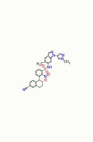 Cc1cc2cnn(-c3cnn(C)c3)c2cc1NS(=O)(=O)c1cccc(C2CCCc3cc(C#N)ccc32)c1[N+](=O)[O-]